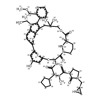 CCn1c(-c2cccnc2[C@H](C)OC)c2c3cc(ccc31)-c1cc(O)cc(c1)C[C@H](NC(=O)[C@H](C1CCCC1)N(C)C(=O)[C@H]1CCN(C[C@H]3CN3)C1=O)C(=O)N1CCC[C@H](N1)C(=O)OCC(C)(C)C2